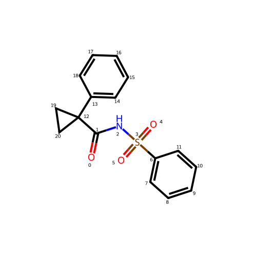 O=C(NS(=O)(=O)c1ccccc1)C1(c2ccccc2)CC1